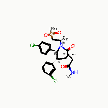 CCNC(=O)C[C@@]1(C)C[C@H](c2cccc(Cl)c2)[C@@H](c2ccc(Cl)cc2)N([C@@H](CC)CS(=O)(=O)C(C)(C)C)C1=O